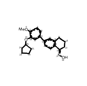 COc1ccc(-c2ccc3c(c2)CCCC3=NO)cc1OC1CCCC1